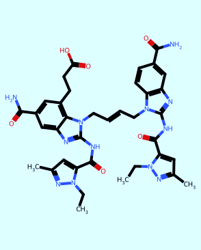 CCn1nc(C)cc1C(=O)Nc1nc2cc(C(N)=O)ccc2n1C/C=C/Cn1c(NC(=O)c2cc(C)nn2CC)nc2cc(C(N)=O)cc(CCC(=O)O)c21